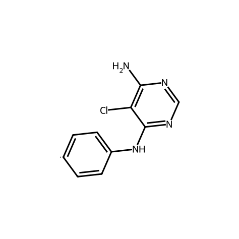 Nc1ncnc(Nc2cc[c]cc2)c1Cl